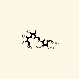 C=CC(C)C(C)C1OC(COC2OC(COC)C(OC)C2OC)C(O)C1O